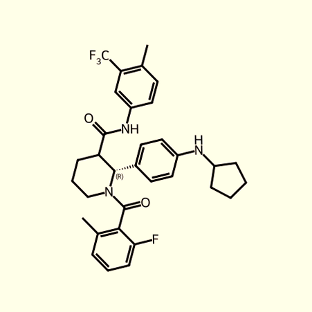 Cc1ccc(NC(=O)C2CCCN(C(=O)c3c(C)cccc3F)[C@H]2c2ccc(NC3CCCC3)cc2)cc1C(F)(F)F